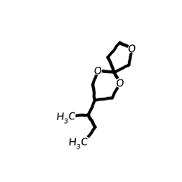 CCC(C)C1COC2(CCOC2)OC1